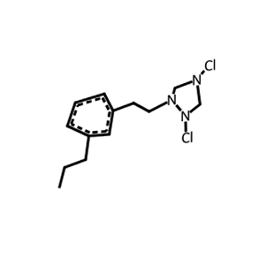 CCCc1cccc(CCN2CN(Cl)CN2Cl)c1